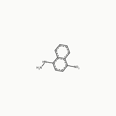 NNc1ccc([N+](=O)[O-])c2ccccc12